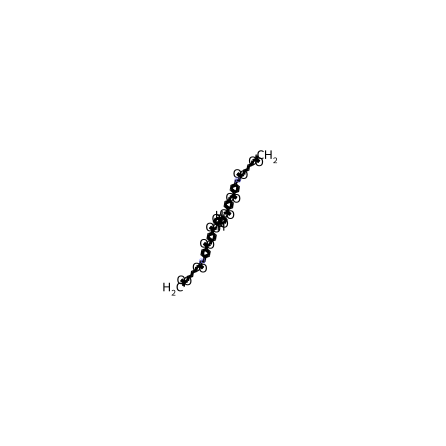 C=CC(=O)OCCCCOC(=O)/C=C/c1ccc(C(=O)Oc2ccc(C(=O)O[C@H]3CO[C@H]4[C@@H]3OC[C@H]4OC(=O)c3ccc(OC(=O)c4ccc(/C=C/C(=O)OCCCCOC(=O)C=C)cc4)cc3)cc2)cc1